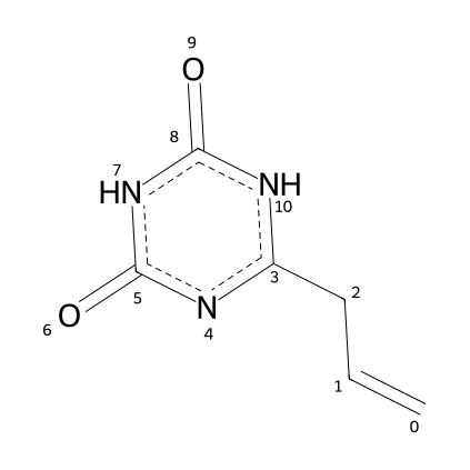 C=CCc1nc(=O)[nH]c(=O)[nH]1